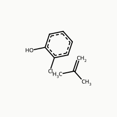 C=C(C)C.Oc1ccccc1Cl